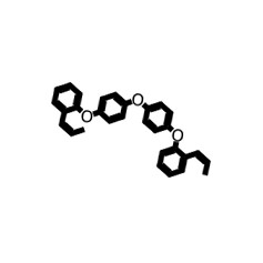 C/C=C\c1ccccc1Oc1ccc(Oc2ccc(Oc3ccccc3/C=C\C)cc2)cc1